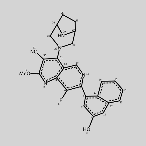 COc1nc2c(F)c(-c3cc(O)cc4ccccc34)ncc2c(N2CC3CCC(C2)N3)c1C#N